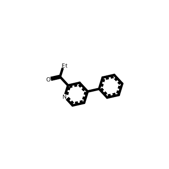 CCC(=O)c1cc(-c2ccccc2)ccn1